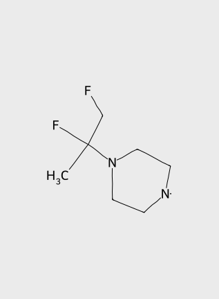 CC(F)(CF)N1CC[N]CC1